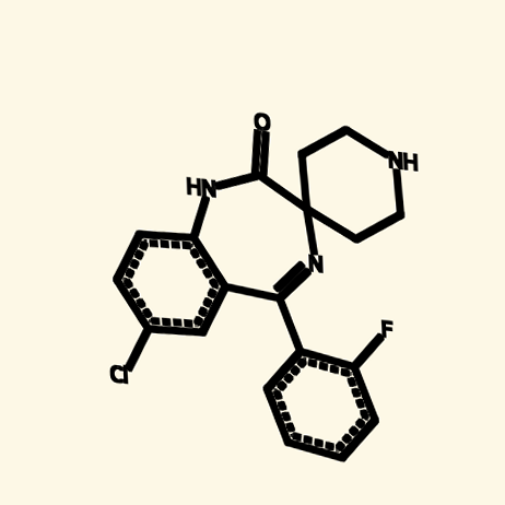 O=C1Nc2ccc(Cl)cc2C(c2ccccc2F)=NC12CCNCC2